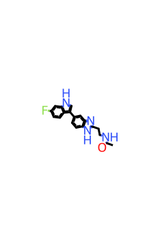 CC(=O)NCCc1nc2cc(-c3c[nH]c4cc(F)ccc34)ccc2[nH]1